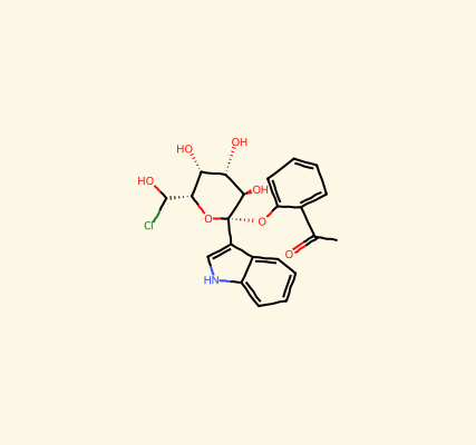 CC(=O)c1ccccc1O[C@]1(c2c[nH]c3ccccc23)O[C@H](C(O)Cl)[C@H](O)[C@H](O)[C@H]1O